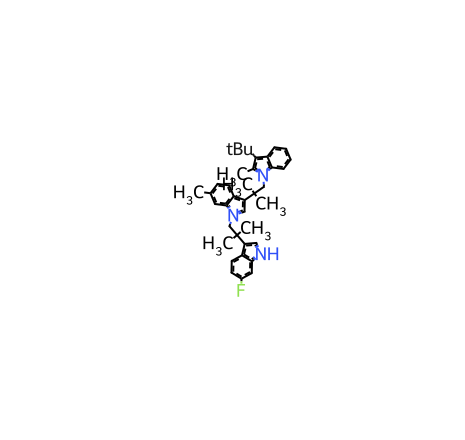 Cc1ccc2c(C(C)(C)Cn3c(C)c(C(C)(C)C)c4ccccc43)cn(CC(C)(C)c3c[nH]c4cc(F)ccc34)c2c1